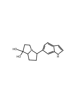 OC1(O)CCN2C(c3ccc4cc[nH]c4c3)CCC21